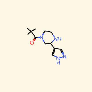 CC(C)(C)C(=O)N1CCNC(c2cn[nH]c2)C1